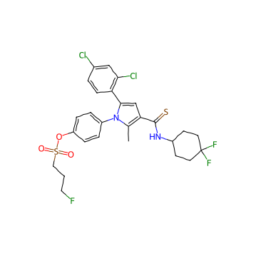 Cc1c(C(=S)NC2CCC(F)(F)CC2)cc(-c2ccc(Cl)cc2Cl)n1-c1ccc(OS(=O)(=O)CCCF)cc1